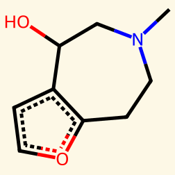 CN1CCc2occc2C(O)C1